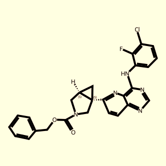 O=C(OCc1ccccc1)N1C[C@H]2C[C@@]2(c2ccc3ncnc(Nc4cccc(Cl)c4F)c3n2)C1